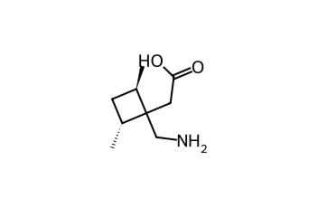 C[C@@H]1C[C@@H](C)C1(CN)CC(=O)O